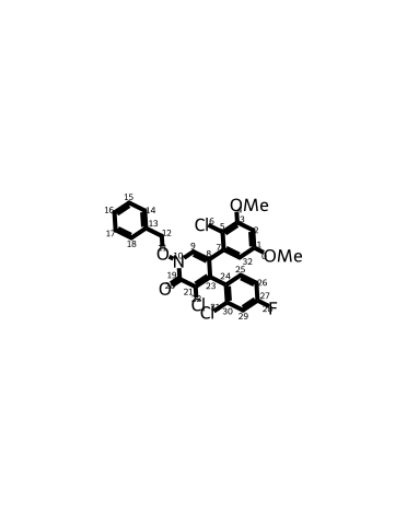 COc1cc(OC)c(Cl)c(-c2cn(OCc3ccccc3)c(=O)c(Cl)c2-c2ccc(F)cc2Cl)c1